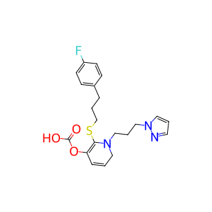 O=C(O)OC1=C(SCCCc2ccc(F)cc2)N(CCCn2cccn2)CC=C1